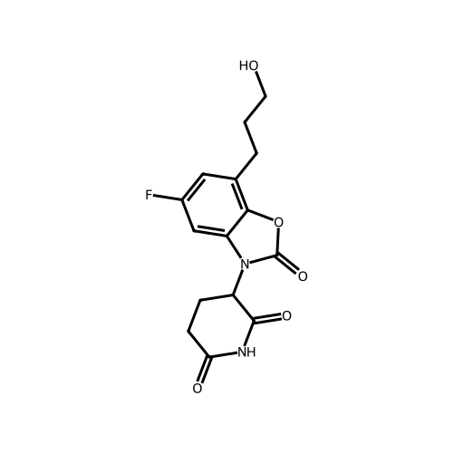 O=C1CCC(n2c(=O)oc3c(CCCO)cc(F)cc32)C(=O)N1